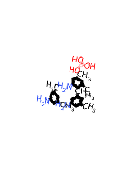 Cc1cc(C)cc(N)c1.Cc1cc(C)cc(N)c1.Cc1cc(C)cc(N)c1.OB(O)O